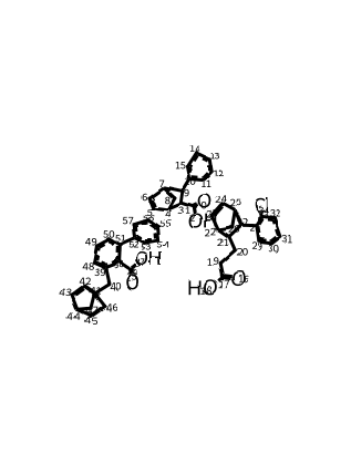 O=C(O)C1C2C=CC(C2)C1c1ccccc1.O=C(O)CCC1C2C=CC(C2)C1c1ccccc1Cl.O=C(O)c1c(CC23C=CC(CC2)C3)cccc1-c1ccccc1